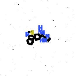 C1=CC(c2ccccc2)(c2cncs2)Cc2[nH]nc(-c3ncc[nH]3)c21